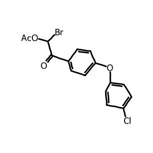 CC(=O)OC(Br)C(=O)c1ccc(Oc2ccc(Cl)cc2)cc1